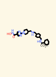 O=C(NO)c1cnc(N2CCC(CNCC3CCC(CN[C@H](C(=O)O)C4CCCCC4)CC3)CC2)nc1